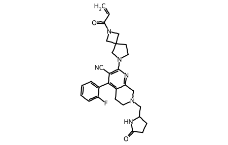 C=CC(=O)N1CC2(CCN(c3nc4c(c(-c5ccccc5F)c3C#N)CCN(CC3CCC(=O)N3)C4)C2)C1